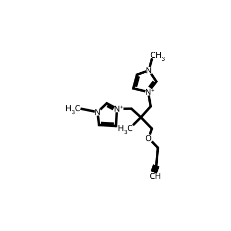 C#CCOCC(C)(C[n+]1ccn(C)c1)C[n+]1ccn(C)c1